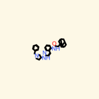 O=C(CC12CC3CC(CC(C3)C1)C2)Nc1cccc2nc(NC3CCN(Cc4ccccc4)C3)ccc12